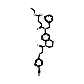 CCOC(=O)CCC(=O)N(Cc1ccccc1)c1ccc2c(c1)CCCN2C(=O)CCc1ccc(C#N)cc1